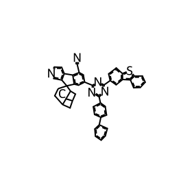 N#Cc1cc(-c2nc(-c3ccc(-c4ccccc4)cc3)nc(-c3ccc4sc5ccccc5c4c3)n2)cc2c1-c1ccncc1C21C2CC3CC4CC1C34C2